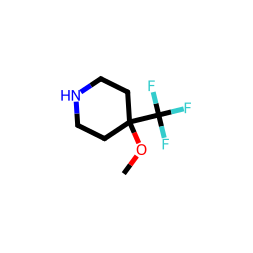 COC1(C(F)(F)F)CCNCC1